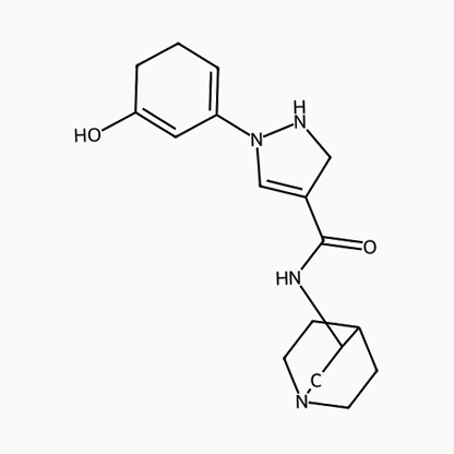 O=C(NC1CN2CCC1CC2)C1=CN(C2=CCCC(O)=C2)NC1